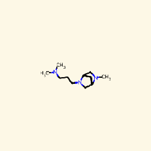 CN(C)CCCN1CC2CC1CN2C